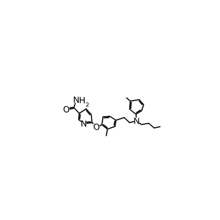 CCCCN(CCc1ccc(Oc2ccc(C(N)=O)cn2)c(C)c1)c1cccc(C)c1